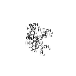 CC(C)CCC1(NC(=O)CNC(=O)OC(C)(C)C)C(=O)C(C2=NS(=O)(=O)c3cc(NS(C)(=O)=O)ccc3N2)=C(O)c2ccccc21